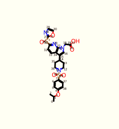 CC(C)Oc1ccc(S(=O)(=O)N2CCC(c3cn(CC(=O)O)c4nc([S+]([O-])c5ncco5)ccc34)CC2)cc1